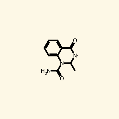 CC1[N]C(=O)c2ccccc2N1C(N)=O